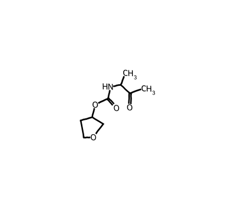 CC(=O)C(C)NC(=O)OC1CCOC1